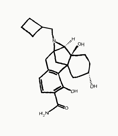 NC(=O)c1ccc2c(c1O)C13C[C@@H](O)CC[C@@]1(O)[C@@H]1N(CC4CCC4)C1(C2)C3